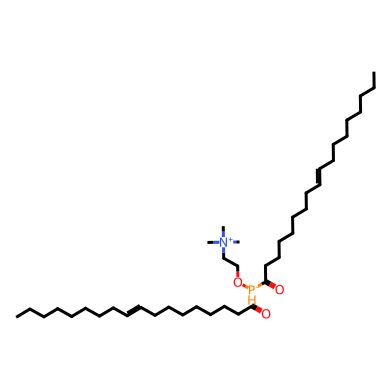 CCCCCCCCC=CCCCCCCCC(=O)[PH-](OCC[N+](C)(C)C)C(=O)CCCCCCCC=CCCCCCCCC